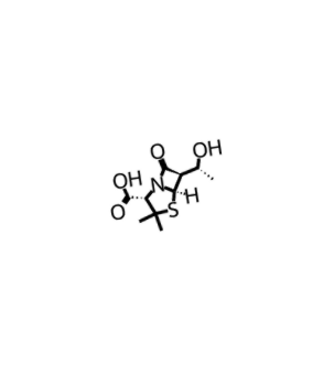 C[C@@H](O)[C@@H]1C(=O)N2[C@@H]1SC(C)(C)[C@@H]2C(=O)O